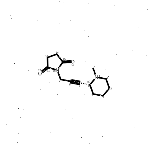 CN1CCCC[C@@H]1C#CCN1C(=O)CCC1=O